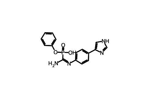 NC(=Nc1ccc(-c2c[nH]cn2)cc1)P(=O)(O)Oc1ccccc1